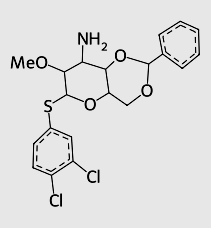 COC1C(Sc2ccc(Cl)c(Cl)c2)OC2COC(c3ccccc3)OC2C1N